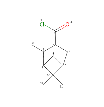 CC1C(C(=O)Cl)CC2CC1C2(C)C